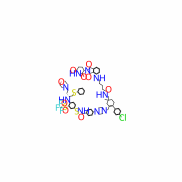 CC1(CNC(=O)CCCCNc2cccc3c2C(=O)N(C2CCC(=O)NC2=O)C3=O)CCC(c2ccc(Cl)cc2)=C(CN2CCN(c3ccc(C(=O)NSc4ccc(N[C@H](CCN5CCOCC5)CSc5ccccc5)c(S(=O)(=O)C(F)(F)F)c4)cc3)CC2)C1